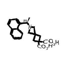 C[C@H](c1cccc2ccccc12)N1CC2(C1)CC(C(=O)O)(C(=O)O)C2